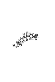 CS(=O)(=O)c1ccc(NC(=S)Nc2ccc([N+](=O)[O-])cc2)cc1